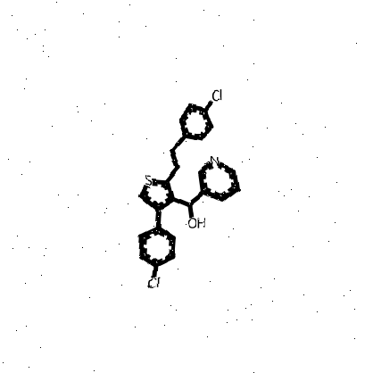 OC(c1cccnc1)c1c(-c2ccc(Cl)cc2)csc1CCc1ccc(Cl)cc1